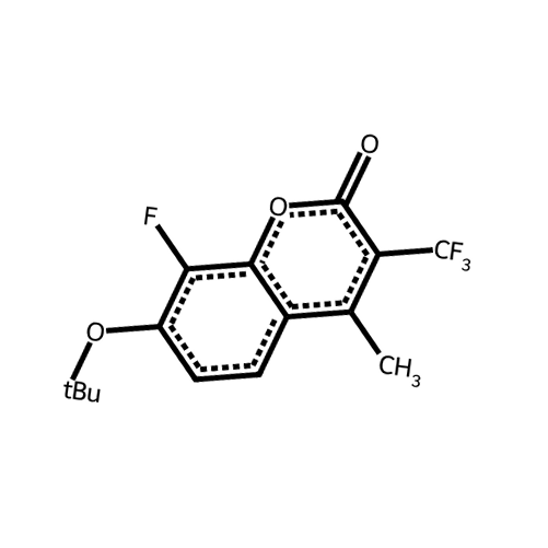 Cc1c(C(F)(F)F)c(=O)oc2c(F)c(OC(C)(C)C)ccc12